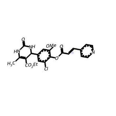 CCOC(=O)C1=C(C)NC(=O)NC1c1cc(Cl)c(OC(=O)/C=C/c2ccncc2)c(OC)c1